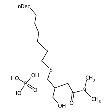 CCCCCCCCCCCCCCCCSCC(CO)CC(=O)N(C)C.O=P(O)(O)O